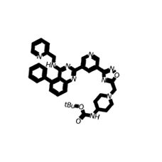 CC(C)(C)OC(=O)NC1CCN(Cc2nc(-c3cncc(-c4nc(NCc5ccccn5)c5c(-c6ccccc6)cccc5n4)c3)no2)CC1